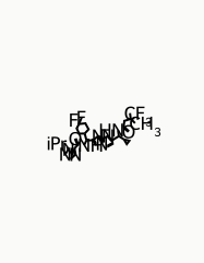 CC(C)n1ncnc1C(=O)NC(c1cn2ccc(C(NC(=O)CC(C)C(F)(F)F)C3CC3)nc2n1)C1CCC(F)(F)CC1